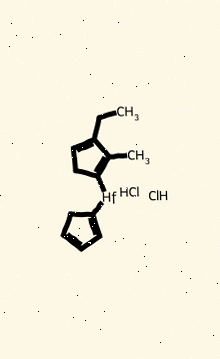 CCC1=CC[C]([Hf][C]2=CC=CC2)=C1C.Cl.Cl